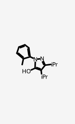 Cc1ccccc1-n1nc(C(C)C)c(C(C)C)c1O